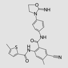 Cc1ccc(C(=O)Nc2cc(C)c(C#N)cc2C(=O)Nc2ccc(N3CCOC3=N)cc2)s1